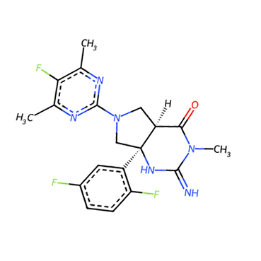 Cc1nc(N2C[C@H]3C(=O)N(C)C(=N)N[C@@]3(c3cc(F)ccc3F)C2)nc(C)c1F